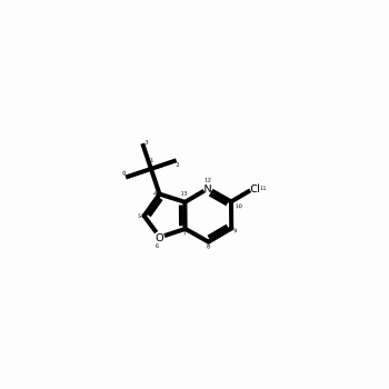 CC(C)(C)c1coc2ccc(Cl)nc12